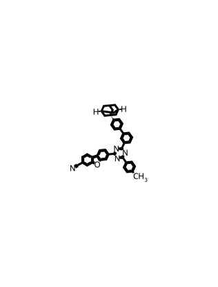 Cc1ccc(-c2nc(-c3cccc(-c4ccc([C@]56CC7C[C@H](C[C@H](C7)C5)C6)cc4)c3)nc(-c3ccc4c(c3)oc3cc(C#N)ccc34)n2)cc1